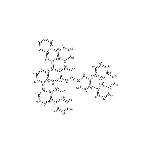 c1ccc2c(c1)cc(-c1c3ccccc3c(-c3cc4ccccc4c4ccccc34)c3cc(-c4ccc(-c5cccc6ccc7cccnc7c56)cc4)ccc13)c1ccccc12